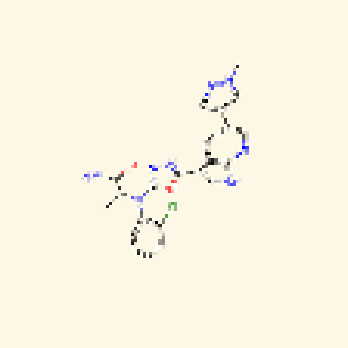 CC(C(N)=O)N(c1nnc(-c2c[nH]c3ncc(-c4cnn(C)c4)cc23)o1)c1ccccc1Cl